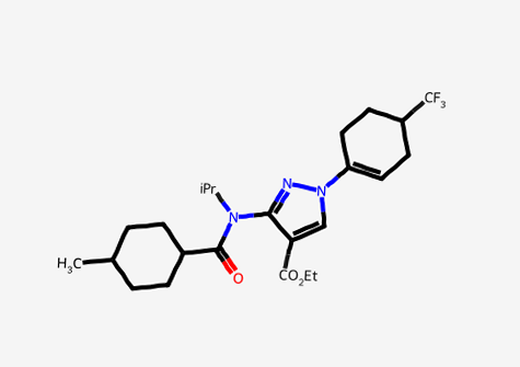 CCOC(=O)c1cn(C2=CCC(C(F)(F)F)CC2)nc1N(C(=O)C1CCC(C)CC1)C(C)C